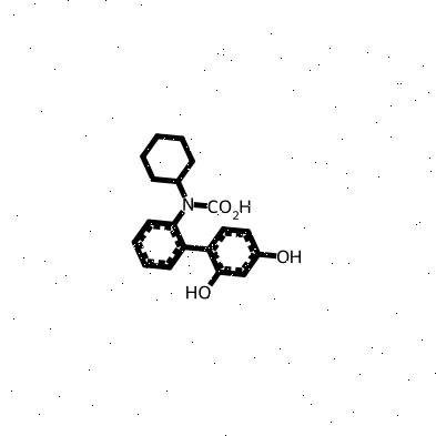 O=C(O)N(c1ccccc1-c1ccc(O)cc1O)C1CCCCC1